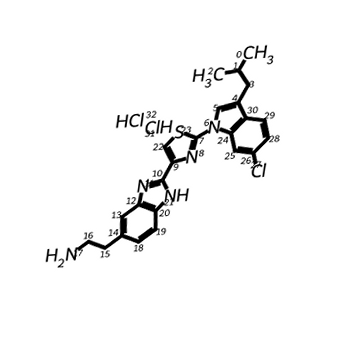 CC(C)Cc1cn(-c2nc(-c3nc4cc(CCN)ccc4[nH]3)cs2)c2cc(Cl)ccc12.Cl.Cl